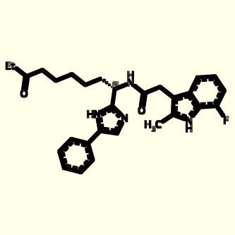 CCC(=O)CCCCC[C@H](NC(=O)Cc1c(C)[nH]c2c(F)cccc12)c1ncc(-c2ccccc2)[nH]1